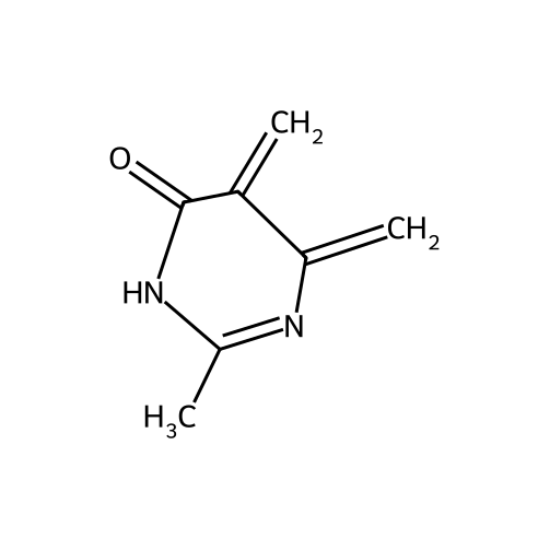 C=c1nc(C)[nH]c(=O)c1=C